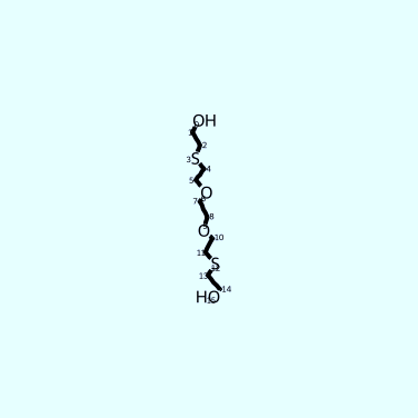 OCCSCCOCCOCCSCCO